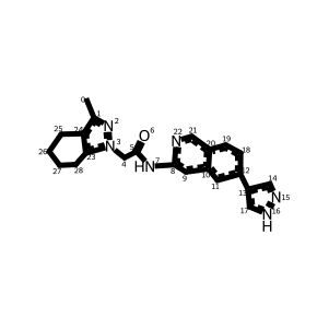 Cc1nn(CC(=O)Nc2cc3cc(-c4cn[nH]c4)ccc3cn2)c2c1CCCC2